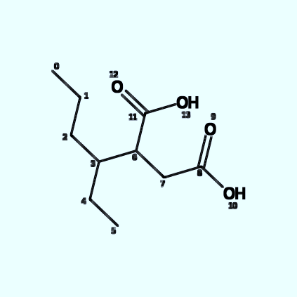 CCCC(CC)C(CC(=O)O)C(=O)O